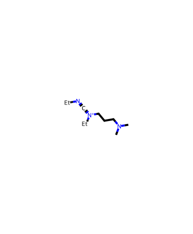 CCN=C=[N+](CC)CCCN(C)C